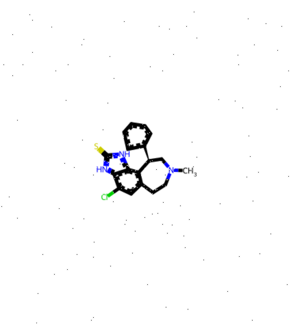 CN1CCc2cc(Cl)c3[nH]c(=S)[nH]c3c2[C@@H](c2ccccc2)C1